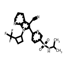 CC(C)NS(=O)(=O)c1ccc(-c2c(C#N)c3cccnc3n2C2CCC2C(F)(F)F)nc1